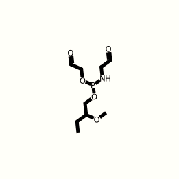 CCC(COP(NCC=O)OCC=O)OC